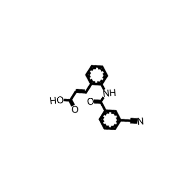 N#Cc1cccc(C(=O)Nc2ccccc2/C=C/C(=O)O)c1